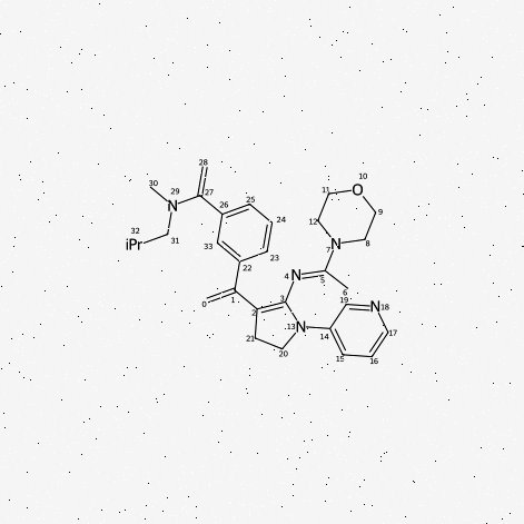 C=C(C1=C(/N=C(\C)N2CCOCC2)N(c2cccnc2)CC1)c1cccc(C(=C)N(C)CC(C)C)c1